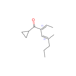 C/C=C(\C=C(/C)CCC)C(=O)C1CC1